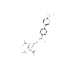 CC(C)O[Si](CCCOC(=O)c1ccc(C2=CCC(N)C=C2)cc1)(OC(C)C)OC(C)C